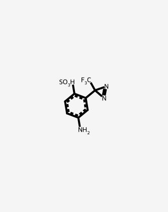 Nc1ccc(S(=O)(=O)O)c(C2(C(F)(F)F)N=N2)c1